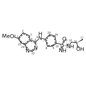 COc1ccc2c(Nc3ccc([S@](=N)(=O)NC[C@@H](C)O)cc3)ncnc2c1